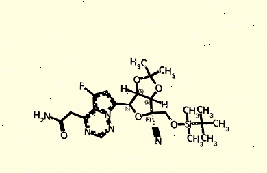 CC1(C)O[C@H]2[C@H](c3cc(F)c4c(CC(N)=O)ncnn34)O[C@](C#N)(CO[Si](C)(C)C(C)(C)C)[C@H]2O1